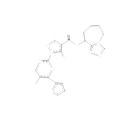 CCCCc1c(C(=O)NC2CCCCn3cnnc32)cnn1-c1ncc(Cl)c(-c2cccs2)n1